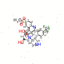 CS(=O)(=O)c1ccc2nc(-c3cccc(C(F)(F)F)c3)c(C[N+]3(C4CCNCC4)CCC[C@@H](O)C3)c(C(=O)O)c2c1